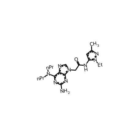 CCCN(CCC)c1nc(N)nc2c1ncn2CC(=O)Nc1cc(C)nn1CC